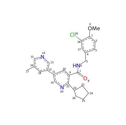 COc1ccc(CNC(=O)c2cc(-c3cncc(C)c3)cnc2C2CCCC2)cc1Cl